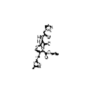 C=CCOC(=O)C1C(CSc2nnc(C)s2)=CS[C@H]2C(NC(=O)Cn3cnnn3)C(=O)N12